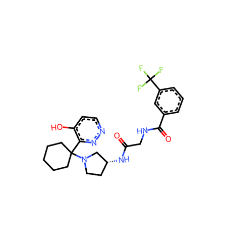 O=C(CNC(=O)c1cccc(C(F)(F)F)c1)N[C@@H]1CCN(C2(c3nnccc3O)CCCCC2)C1